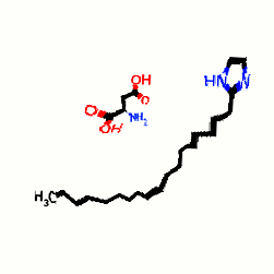 CCCCCCCC/C=C\CCCCCCCCC1=NCCN1.N[C@@H](CC(=O)O)C(=O)O